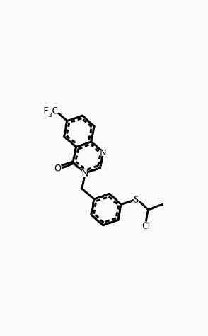 CC(Cl)Sc1cccc(Cn2cnc3ccc(C(F)(F)F)cc3c2=O)c1